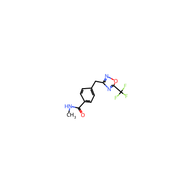 CNC(=O)c1ccc(Cc2noc(C(F)(F)F)n2)cc1